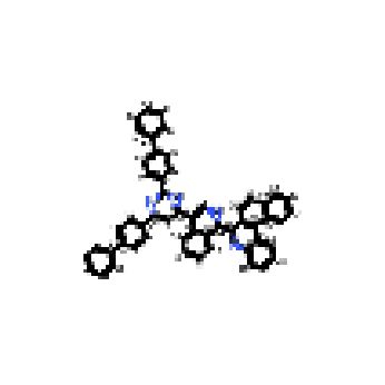 c1ccc(-c2ccc(-c3cc(-c4cnc(-c5nc6ccccc6c6c5ccc5ccccc56)c5ccccc45)nc(-c4ccc(-c5ccccc5)cc4)n3)cc2)cc1